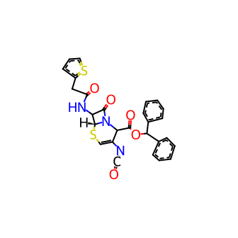 O=C=NC1=CS[C@@H]2C(NC(=O)Cc3cccs3)C(=O)N2C1C(=O)OC(c1ccccc1)c1ccccc1